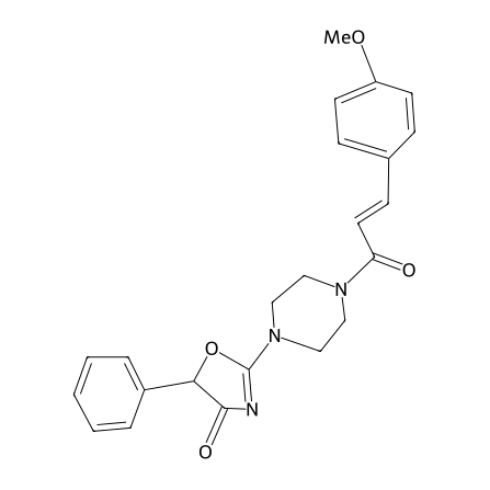 COc1ccc(C=CC(=O)N2CCN(C3=NC(=O)C(c4ccccc4)O3)CC2)cc1